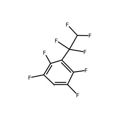 Fc1[c]c(F)c(F)c(C(F)(F)C(F)F)c1F